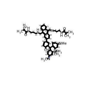 C=C(C)C(=O)NCCCNCc1c2ccccc2c(CNCCCNC(=O)C(=C)C)c2cc(-c3ccc(C)c(C4=C5C=C/C(=N\C)C=C5[Si](C)(C)c5cc(NC)ccc54)c3)ccc12